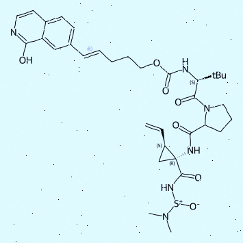 C=C[C@@H]1C[C@]1(NC(=O)C1CCCN1C(=O)[C@@H](NC(=O)OCCC/C=C/c1ccc2ccnc(O)c2c1)C(C)(C)C)C(=O)N[S+]([O-])N(C)C